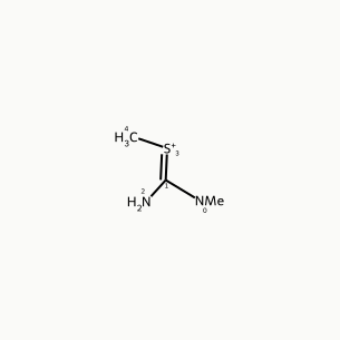 CN/C(N)=[S+]/C